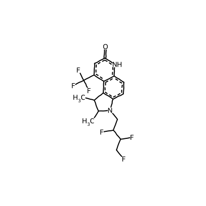 CC1c2c(ccc3[nH]c(=O)cc(C(F)(F)F)c23)N(CC(F)C(F)CF)C1C